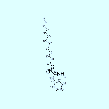 CCCCCCCCCCCCCOC(=O)[C@@H](N)Cc1ccccc1